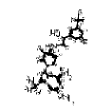 [2H]C([2H])([2H])c1nc(-c2ccc(NC(=O)[C@@H](O)c3cc(F)cc(C(F)(F)F)c3)c(F)c2F)c2c(N)nc(C)cn12